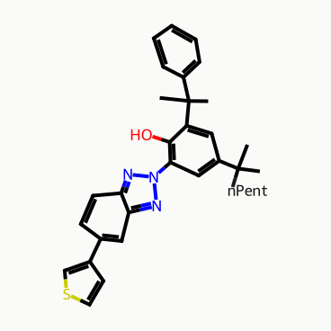 CCCCCC(C)(C)c1cc(-n2nc3ccc(-c4ccsc4)cc3n2)c(O)c(C(C)(C)c2ccccc2)c1